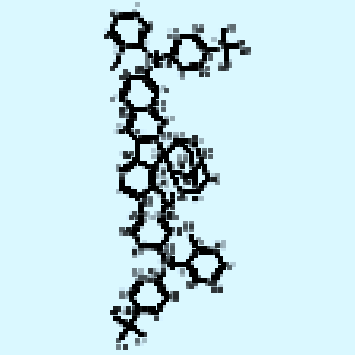 Cc1ccccc1N(c1ccc(C(C)(C)C)cc1)c1ccc2cc3c(cc2c1)C1(c2c-3ccc3c2oc2cc(N(c4ccc(C(C)(C)C)cc4)c4ccccc4C)ccc23)C2CC3CC(C2)CC1C3